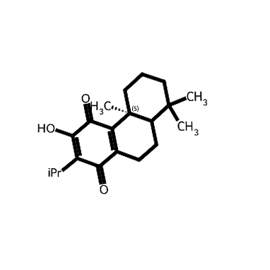 CC(C)C1=C(O)C(=O)C2=C(CCC3C(C)(C)CCC[C@]23C)C1=O